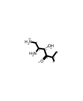 CC(C)C(=O)[C@@H](O)C(N)CN